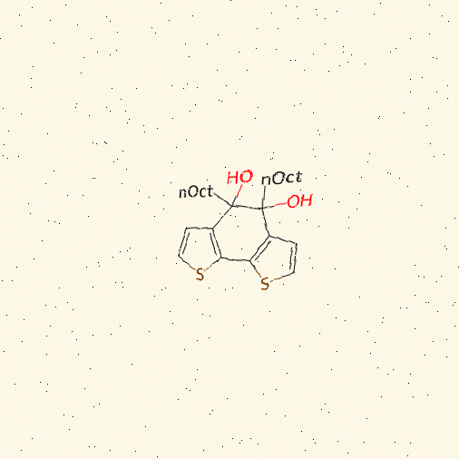 CCCCCCCCC1(O)c2ccsc2-c2sccc2C1(O)CCCCCCCC